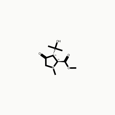 COC(=O)[C@@H]1[C@@H](C(C)(C)O)C(=O)CN1C